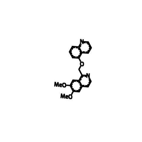 COc1cc2ccnc(COc3cccc4ncccc34)c2cc1OC